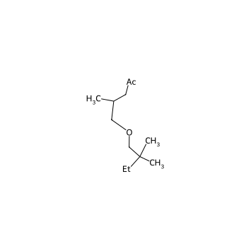 CCC(C)(C)COCC(C)CC(C)=O